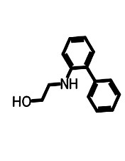 OCCNc1ccccc1-c1ccccc1